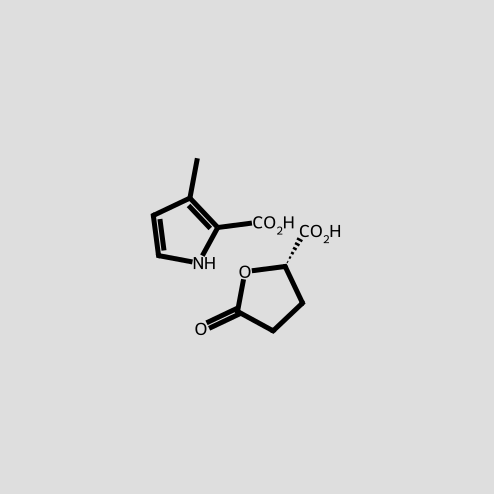 Cc1cc[nH]c1C(=O)O.O=C1CC[C@@H](C(=O)O)O1